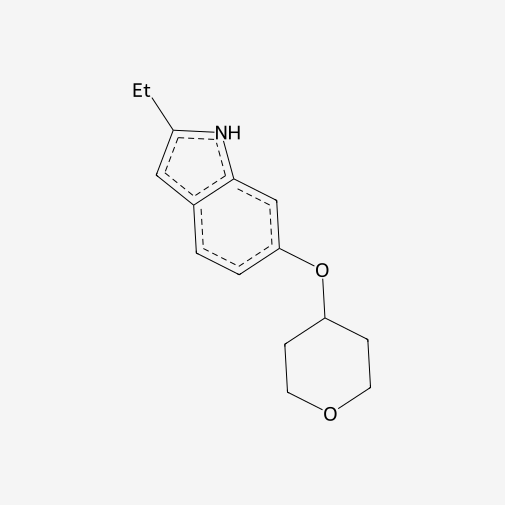 CCc1cc2ccc(OC3CCOCC3)cc2[nH]1